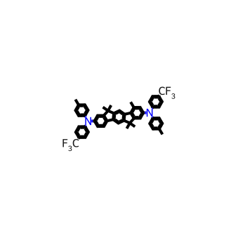 Cc1ccc(N(c2ccc(C(F)(F)F)cc2)c2ccc3c(c2)C(C)(C)c2cc4c(cc2-3)C(C)(C)c2cc(N(c3ccc(C)cc3)c3ccc(C(F)(F)F)cc3)cc(C)c2-4)cc1